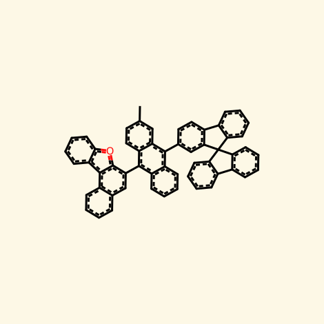 Cc1ccc2c(-c3cc4ccccc4c4c3oc3ccccc34)c3ccccc3c(-c3ccc4c(c3)C3(c5ccccc5-c5ccccc53)c3ccccc3-4)c2c1